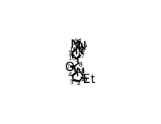 CCc1cccc(C(=O)Cc2ccc3ncnn3c2)n1